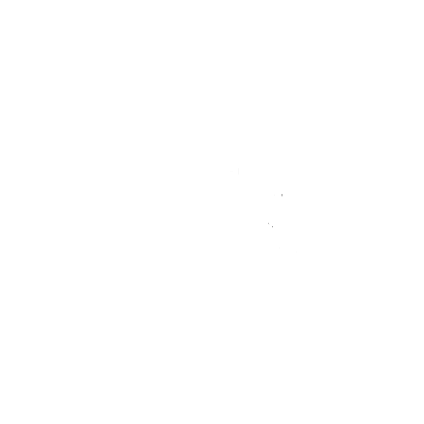 CN(O)CC(O)c1ccccc1